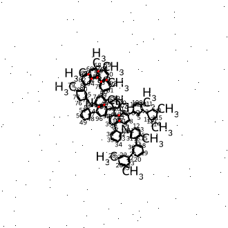 CC1=CC(c2cc(-c3cc(N(c4ccc(C)c(-c5cccc(-c6cc(C)cc(C)c6)c5)c4)c4ccccc4-c4ccc(C5(c6ccc(-c7ccccc7N(c7ccc(C)c(-c8cccc(-c9cc(C)cc(C)c9)c8)c7)c7ccc(C)c(-c8cccc(-c9cc(C)cc(C)c9)c8)c7)cc6)CCCC5)cc4)ccc3C)ccc2C)CC(C)=C1